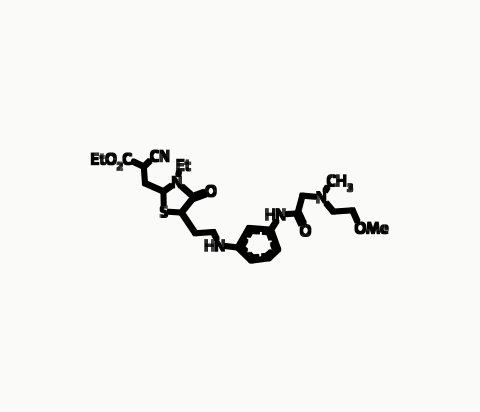 CCOC(=O)C(C#N)CC1SC(CCNc2cccc(NC(=O)CN(C)CCOC)c2)C(=O)N1CC